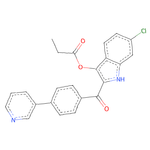 CCC(=O)Oc1c(C(=O)c2ccc(-c3cccnc3)cc2)[nH]c2cc(Cl)ccc12